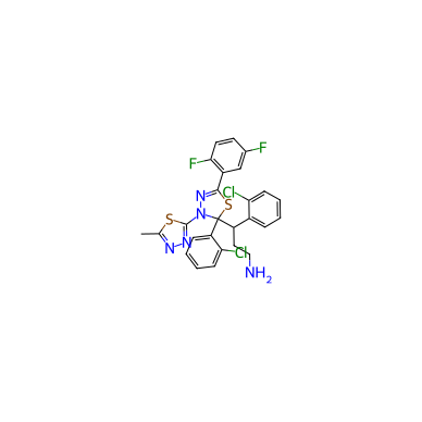 Cc1nnc(N2N=C(c3cc(F)ccc3F)SC2(c2ccccc2Cl)C(CCN)c2ccccc2Cl)s1